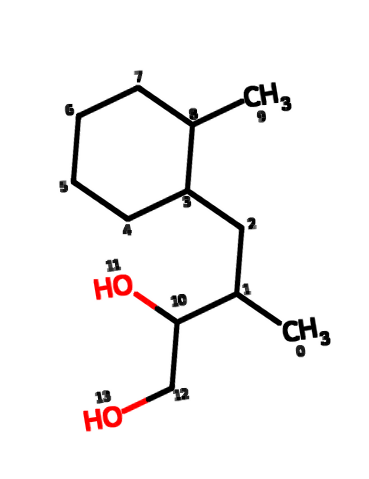 CC(CC1CCCCC1C)C(O)CO